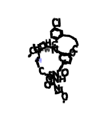 COC1CN(C(=O)NS2(=O)=NC(=O)c3ccc4c(c3)N(Cc3ccc(Cl)cc3CCCCO4)C[C@@H]3CC[C@H]3[C@@H](OC)/C=C/CCC2)C1